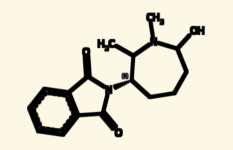 CC1[C@@H](N2C(=O)c3ccccc3C2=O)CCCC(O)N1C